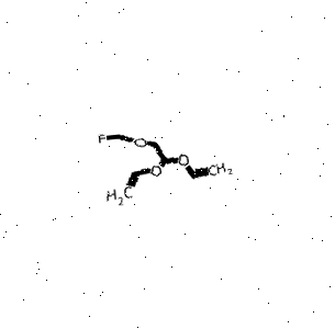 C=COC(COCF)OC=C